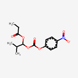 CCC(=O)OC(OC(=O)Oc1ccc([N+](=O)[O-])cc1)C(C)C